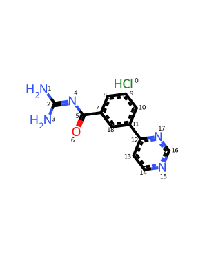 Cl.NC(N)=NC(=O)c1cccc(-c2ccncn2)c1